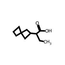 CCC(C(=O)O)C1CC2(CCC2)C1